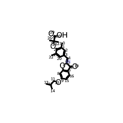 Cc1cc(/C=C2\Oc3cc(OCC(C)C)ccc3C2=O)cc(C)c1OC(C)(C)C(=O)O